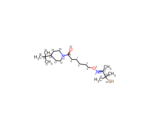 C/C(=N\OCCCCCC(=O)N1CCC(C(C)(C)C)CC1)C(C)(C)S